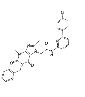 Cc1nc2c(c(=O)n(Cc3ccccn3)c(=O)n2C)n1CC(=O)Nc1cccc(-c2ccc(Cl)cc2)n1